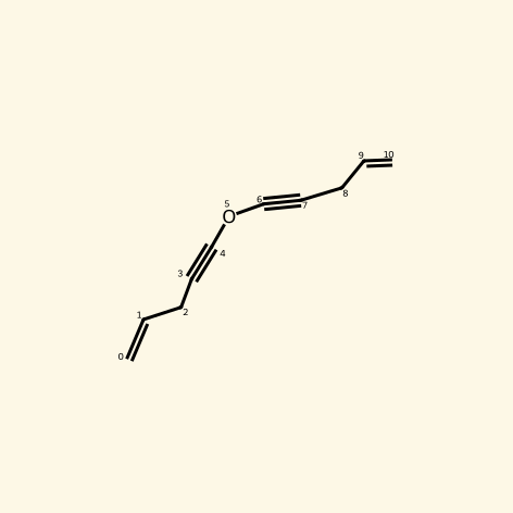 C=CCC#COC#CCC=C